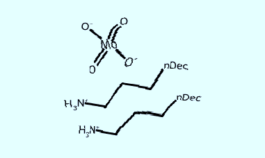 CCCCCCCCCCCCC[NH3+].CCCCCCCCCCCCC[NH3+].[O]=[Mo](=[O])([O-])[O-]